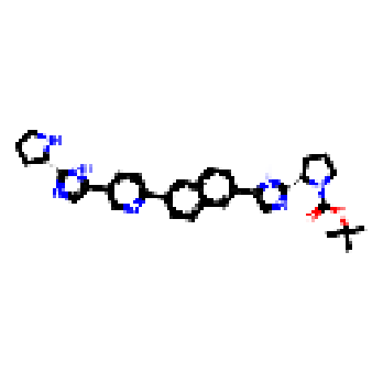 CC(C)(C)OC(=O)N1CCC[C@H]1c1ncc(-c2ccc3cc(-c4ccc(-c5cnc([C@@H]6CCCN6)[nH]5)cn4)ccc3c2)[nH]1